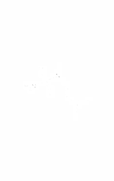 CC(C)CCN(C)S(N)(=O)=O